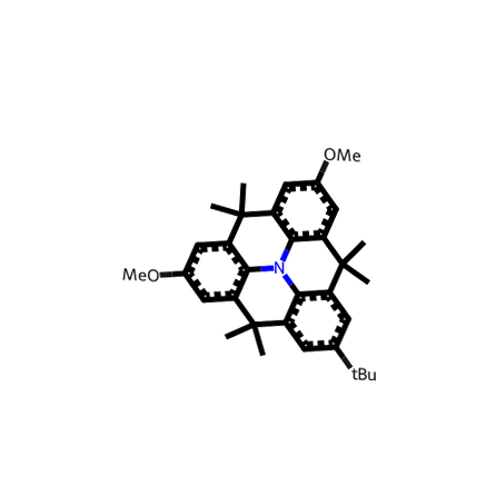 COc1cc2c3c(c1)C(C)(C)c1cc(C(C)(C)C)cc4c1N3c1c(cc(OC)cc1C4(C)C)C2(C)C